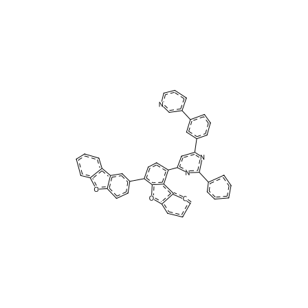 c1ccc(-c2nc(-c3cccc(-c4cccnc4)c3)cc(-c3ccc(-c4ccc5oc6ccccc6c5c4)c4oc5ccccc5c34)n2)cc1